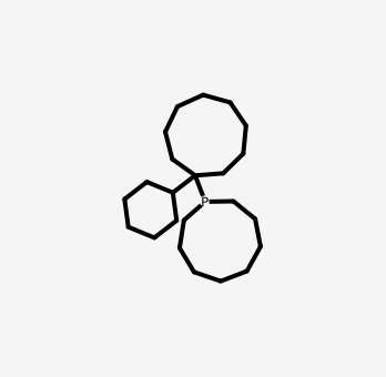 C1CCCCP(C2(C3CCCCC3)CCCCCCCC2)CCC1